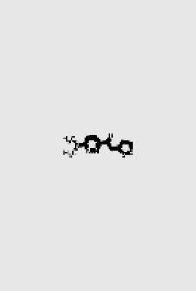 CN(C)c1ccc(C(=O)/C=C2\CCSS2)nn1